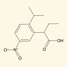 CCC(C(=O)O)c1cc([N+](=O)[O-])ccc1C(C)C